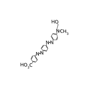 CN(CCO)c1ccc(N=Nc2ccc(N=Nc3ccc(C(=O)O)cc3)cc2)cc1